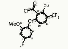 COc1cc(F)ccc1Oc1ccc(C(F)(F)F)c(F)c1C(=O)Cl